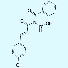 O=C(C=Cc1ccc(O)cc1)N(NO)C(=O)c1ccccc1